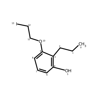 CCCc1c(O)[c]ccc1OCCI